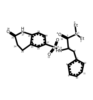 CCN(CC)C(=O)C(Cc1ccccc1)NS(=O)(=O)c1ccc2c(c1)CCC(=O)N2